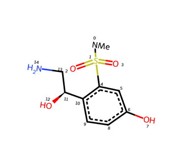 CNS(=O)(=O)c1cc(O)ccc1[C@@H](O)CN